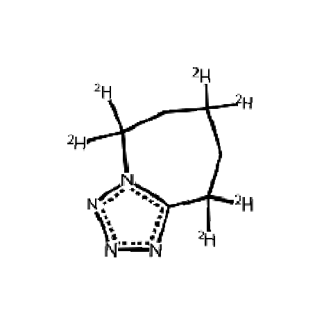 [2H]C1([2H])CC([2H])([2H])c2nnnn2C([2H])([2H])C1